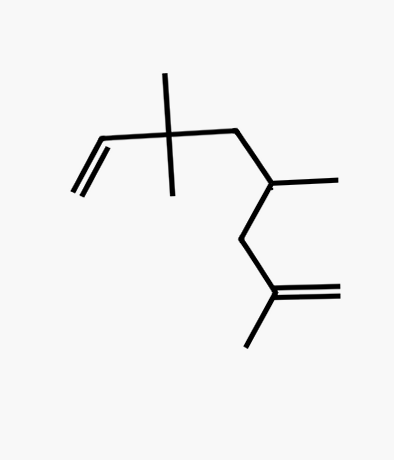 C=CC(C)(C)C[C](C)CC(=C)C